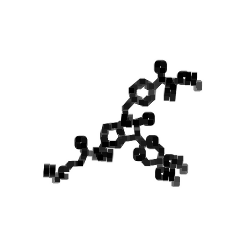 CCCC(=O)Nc1ccc2c(c1)C(C1OCC(C)(C)CO1)C(=O)N2Cc1ccc(C(=O)NC)cc1